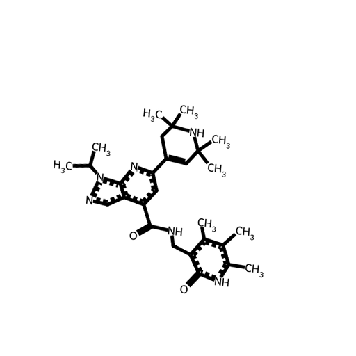 Cc1[nH]c(=O)c(CNC(=O)c2cc(C3=CC(C)(C)NC(C)(C)C3)nc3c2cnn3C(C)C)c(C)c1C